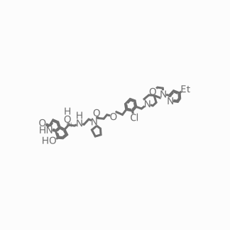 CCc1ccnc(N2CCOC3(CCN(Cc4cccc(CCOCCC(=O)N(CCNC[C@H](O)c5ccc(O)c6[nH]c(=O)ccc56)C5CCCC5)c4Cl)CC3)C2)c1